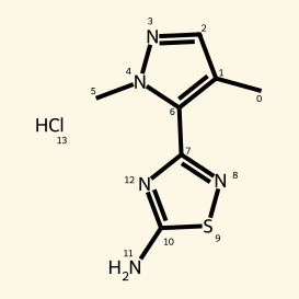 Cc1cnn(C)c1-c1nsc(N)n1.Cl